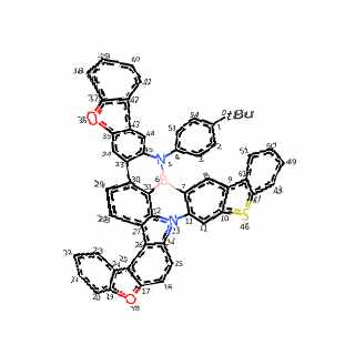 CC(C)(C)c1ccc(N2B3c4cc5c(cc4-n4c6ccc7oc8ccccc8c7c6c6ccc(c3c64)-c3cc4oc6ccccc6c4cc32)sc2ccccc25)cc1